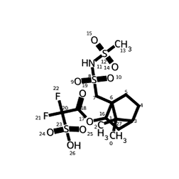 CC1(C)C2CCC1(CS(=O)(=O)NS(C)(=O)=O)C(OC(=O)C(F)(F)S(=O)(=O)O)C2